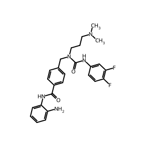 CN(C)CCCN(Cc1ccc(C(=O)Nc2ccccc2N)cc1)C(=O)Nc1ccc(F)c(F)c1